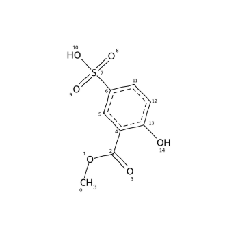 COC(=O)c1cc(S(=O)(=O)O)ccc1O